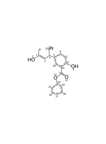 C/C(O)=C\C(c1ccc(O)c(C(=O)Oc2ccccc2)c1)C(C)C